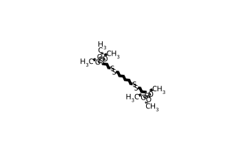 CCO[Si](CCCSSCCCCCCSSCCC[Si](OCC)(OCC)OCC)(OCC)OCC